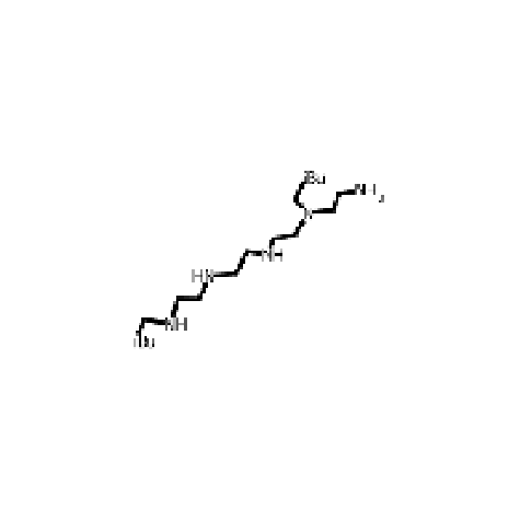 CCC(C)CNCCNCCNCCN(CCN)CC(C)CC